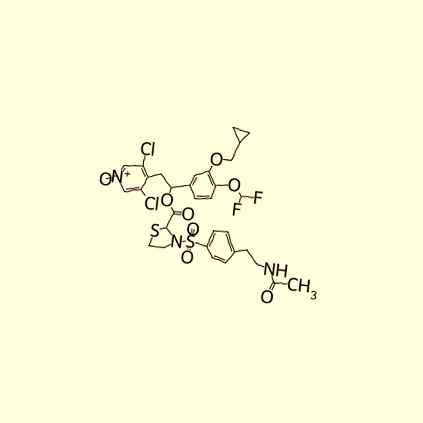 CC(=O)NCCc1ccc(S(=O)(=O)N2CCSC2C(=O)OC(Cc2c(Cl)c[n+]([O-])cc2Cl)c2ccc(OC(F)F)c(OCC3CC3)c2)cc1